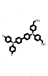 OCc1ccc(N(c2ccc(CO)cc2)c2ccc(-c3ccc(N(c4ccc(F)cc4)c4ccc(F)cc4)cc3)cc2)cc1